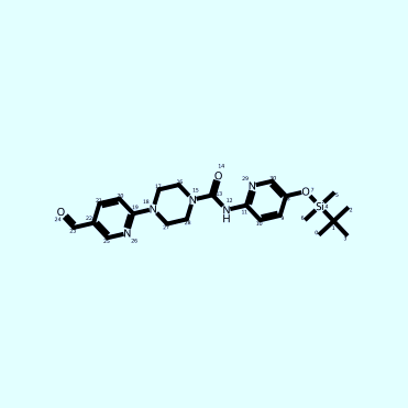 CC(C)(C)[Si](C)(C)Oc1ccc(NC(=O)N2CCN(c3ccc(C=O)cn3)CC2)nc1